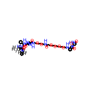 CC(C)(C)[C@H](NC(=O)C(NC(=O)c1cnc(C(=O)NCCOCCOCCNC(=O)CCOCCOCCOCCOCCNc2cccc3c2CN(C2CCC(=O)NC2=O)C3=O)cn1)C1CCCCC1)C(=O)N1C[C@H]2CCC[C@H]2C1